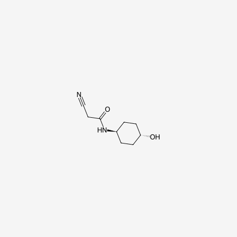 N#CCC(=O)N[C@H]1CC[C@H](O)CC1